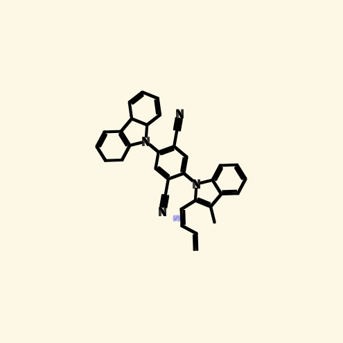 C=C/C=C\c1c(C)c2ccccc2n1-c1cc(C#N)c(N2C3=C(C=CCC3)C3C=CC=CC32)cc1C#N